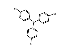 CCc1cc[c]([Sb]([c]2ccc(CC)cc2)[c]2ccc(CC)cc2)cc1